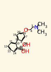 CN(C)CCOc1ccc(-c2cc[c]cc2B(O)O)cc1